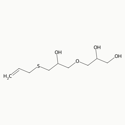 C=CCSCC(O)COCC(O)CO